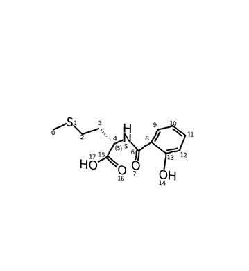 CSCC[C@H](NC(=O)c1ccccc1O)C(=O)O